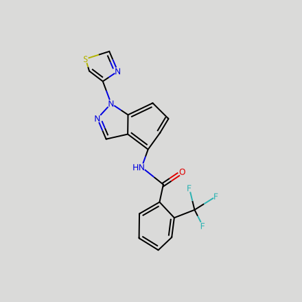 O=C(Nc1cccc2c1cnn2-c1cscn1)c1ccccc1C(F)(F)F